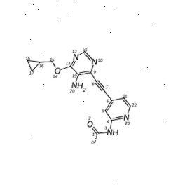 CC(=O)Nc1cc(C#Cc2ncnc(OCC3CC3)c2N)ccn1